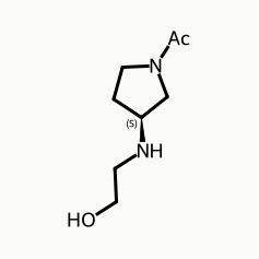 CC(=O)N1CC[C@H](NCCO)C1